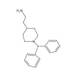 NCCC1CCN(C(c2ccccc2)c2ccccc2)CC1